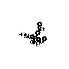 CCN(Cc1ccccc1)c1ccc(C(=C2C=CC(=[N+](CC)Cc3ccccc3)C=C2)c2ccc(SOOO)cc2O[SH](=O)=O)cc1